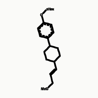 CCCCCCOc1ccc(C2CCC(C=CCOC)CC2)cc1